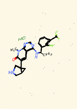 C[C@@H](Nc1ncnc2c1cc(C13CNCC1C3)c(=O)n2C)c1cccc(C(F)F)c1F.Cl